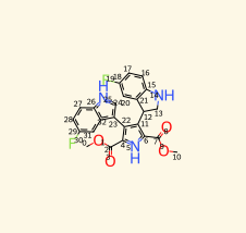 COC(=O)c1[nH]c(C(=O)OC)c(C2CNc3ccc(F)cc32)c1-c1c[nH]c2ccc(F)cc12